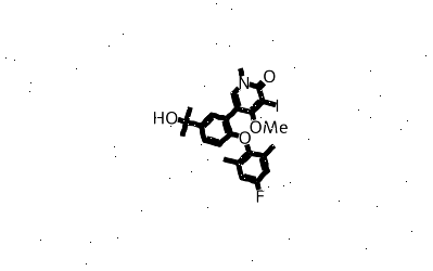 COc1c(-c2cc(C(C)(C)O)ccc2Oc2c(C)cc(F)cc2C)cn(C)c(=O)c1I